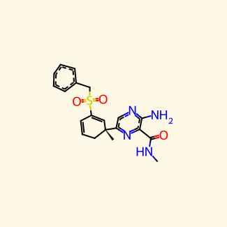 CNC(=O)c1nc([C@@]2(C)C=C(S(=O)(=O)Cc3ccccc3)C=CC2)cnc1N